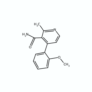 COc1ccccc1-c1ccnc(C)c1C(N)=O